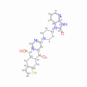 O=C(c1cc(N2CCC(n3c(=O)[nH]c4ncccc43)CC2)ncn1)C1Cc2sccc2CC1CO